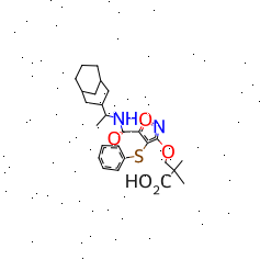 CC(NC(=O)c1onc(OCC(C)(C)C(=O)O)c1Sc1ccccc1)C1CC2CCCC(C2)C1